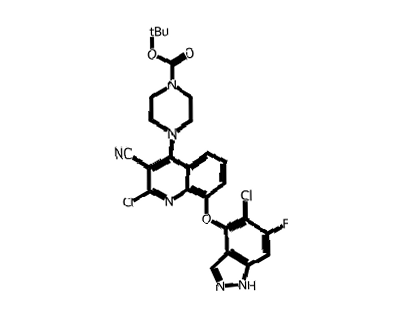 CC(C)(C)OC(=O)N1CCN(c2c(C#N)c(Cl)nc3c(Oc4c(Cl)c(F)cc5[nH]ncc45)cccc23)CC1